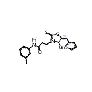 Cc1cccc(NC(=O)CCN2C(=S)S/C(=C/c3cccs3)C2O)c1